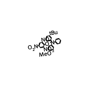 COc1ccc(N(c2ccccc2)c2cc(C(C)(C)C)ccc2Oc2c([N+](=O)[O-])cc([N+](=O)[O-])cc2[N+](=O)[O-])cc1